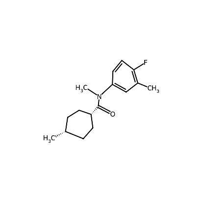 Cc1cc(N(C)C(=O)[C@H]2CC[C@@H](C)CC2)ccc1F